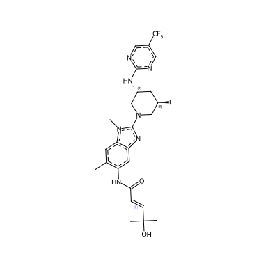 Cc1cc2c(cc1NC(=O)/C=C/C(C)(C)O)nc(N1C[C@H](F)C[C@@H](Nc3ncc(C(F)(F)F)cn3)C1)n2C